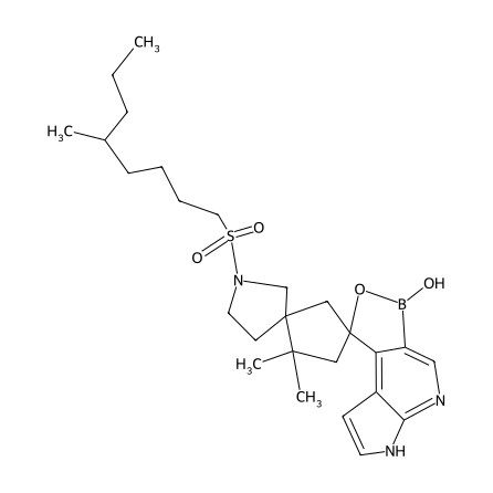 CCCC(C)CCCCS(=O)(=O)N1CCC2(C1)CC1(CC2(C)C)OB(O)c2cnc3[nH]ccc3c21